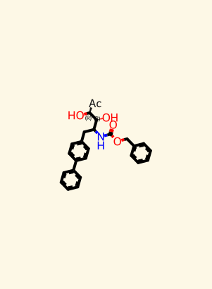 CC(=O)[C@H](O)[C@H](O)C(Cc1ccc(-c2ccccc2)cc1)NC(=O)OCc1ccccc1